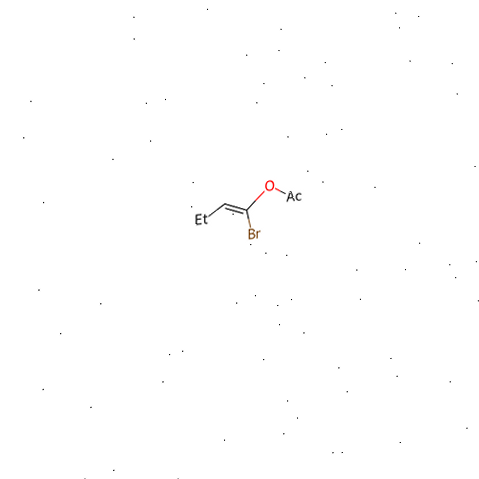 CCC=C(Br)OC(C)=O